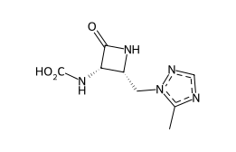 Cc1ncnn1C[C@H]1NC(=O)[C@H]1NC(=O)O